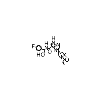 C=CC(=O)N1CCN(c2cnc3[nH]cc(C(=O)NC(CO)c4ccc(F)cc4)c3n2)CC1(C)C